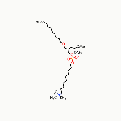 CCCCCCCCCCCCCCCCCCOCC(COP(=O)([O-])OCCCCCCCCCC[N+](C)(C)C)CC(OC)OC